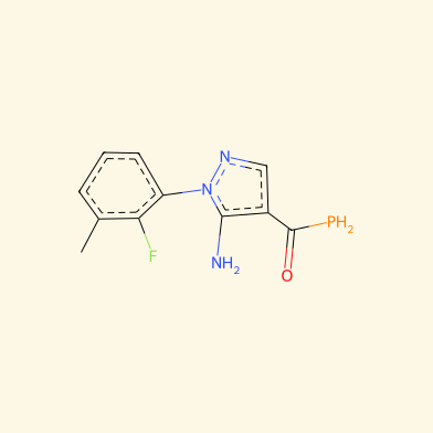 Cc1cccc(-n2ncc(C(=O)P)c2N)c1F